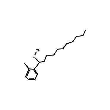 CCCCCCCCCCC(OO)c1ccccc1C